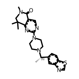 C[C@@H](c1ccc2scnc2c1)N1CCN(c2ncc3c(n2)C(C)(C)CN(C)C3=O)CC1